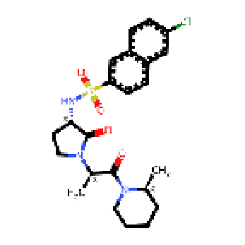 C[C@H](C(=O)N1CCCC[C@@H]1C)N1CC[C@H](NS(=O)(=O)c2ccc3cc(Cl)ccc3c2)C1=O